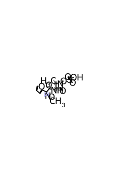 CO/N=C(\C(=O)N[C@@H]1C(=O)N(OCS(=O)(=O)O)[C@H]1C)c1ccco1